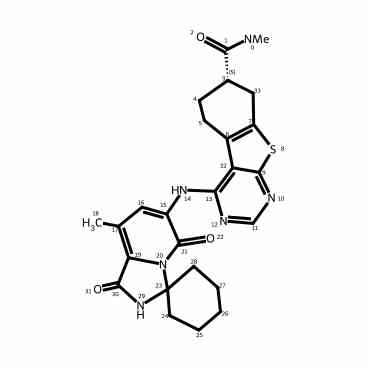 CNC(=O)[C@H]1CCc2c(sc3ncnc(Nc4cc(C)c5n(c4=O)C4(CCCCC4)NC5=O)c23)C1